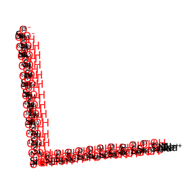 O=[Si](O)O.O=[Si](O)O.O=[Si](O)O.O=[Si](O)O.O=[Si](O)O.O=[Si](O)O.O=[Si](O)O.O=[Si](O)O.O=[Si](O)O.O=[Si](O)O.O=[Si](O)O.O=[Si](O)O.O=[Si](O)O.O=[Si](O)O.O=[Si](O)O.O=[Si](O)O.O=[Si](O)O.O=[Si](O)O.O=[Si](O)O.O=[Si](O)O.O=[Si](O)O.O=[Si](O)O.O=[Si](O)O.O=[Si]([O-])O.O=[Si]([O-])[O-].[Na+].[Na+].[Na+]